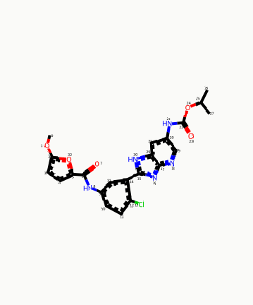 COc1ccc(C(=O)Nc2ccc(Cl)c(-c3nc4ncc(NC(=O)OC(C)C)cc4[nH]3)c2)o1